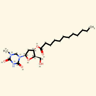 CCCCCCCCCCCC(=O)O[C@H]1C[C@H](N2CN(C)C(=O)NC2=O)O[C@@H]1CO